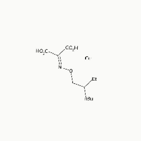 CCCCC(CC)CON=C(C(=O)O)C(=O)O.[Cu]